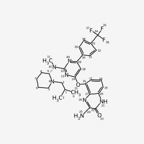 CC(C)CN1CCCC[C@@H]1N(C)c1nc(Oc2cccc3[nH]c(=O)c(N)nc23)cc(-c2ccc(C(F)(F)F)cc2)n1